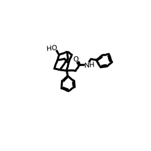 O=C(CC1(c2ccccc2)C2CC3CC1CC(C2)C3O)NCc1ccccc1